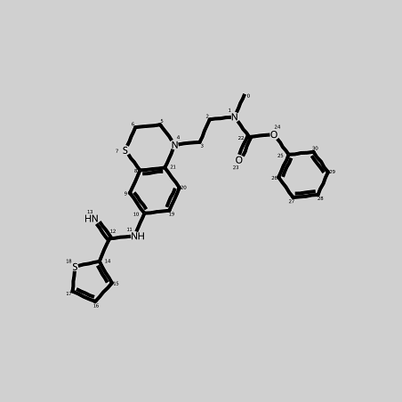 CN(CCN1CCSc2cc(NC(=N)c3cccs3)ccc21)C(=O)Oc1ccccc1